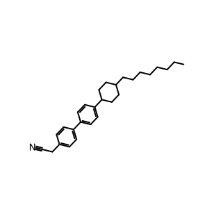 CCCCCCCCC1CCC(c2ccc(-c3ccc(CC#N)cc3)cc2)CC1